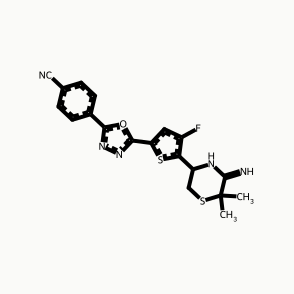 CC1(C)SCC(c2sc(-c3nnc(-c4ccc(C#N)cc4)o3)cc2F)NC1=N